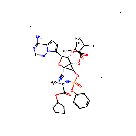 CC(C)C(=O)O[C@H]1[C@H](c2ccc3c(N)ncnn23)O[C@]2(C#N)C(OP(=O)(N[C@@H](C)C(=O)OC3CCCC3)Oc3ccccc3)[C@]12OC(=O)C(C)C